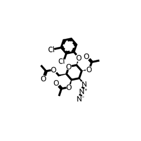 CC(=O)OC[C@H]1O[C@H](Oc2cccc(Cl)c2Cl)[C@H](OC(C)=O)[C@@H](N=[N+]=[N-])[C@H]1OC(C)=O